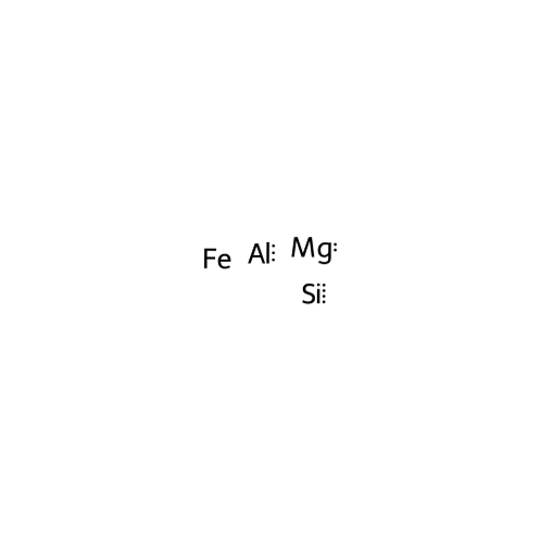 [Al].[Fe].[Mg].[Si]